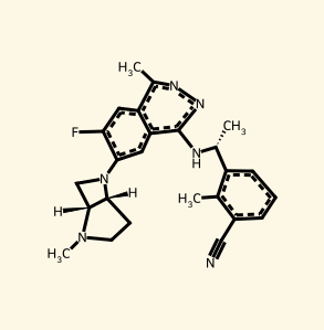 Cc1c(C#N)cccc1[C@@H](C)Nc1nnc(C)c2cc(F)c(N3C[C@@H]4[C@H]3CCN4C)cc12